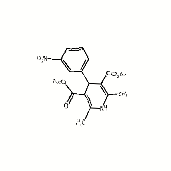 CCOC(=O)C1=C(C)NC(C)=C(C(=O)OC(C)=O)C1c1cccc([N+](=O)[O-])c1